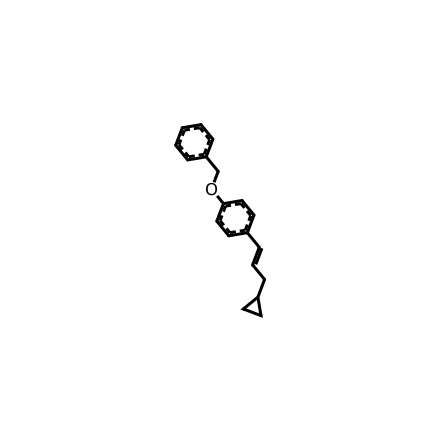 C(=C\c1ccc(OCc2ccccc2)cc1)/CC1CC1